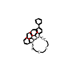 c1ccc(-c2ccc(P3CCCCCCCCCCPP(c4ccccc4)P(c4ccccc4)P3c3ccccc3)cc2)cc1